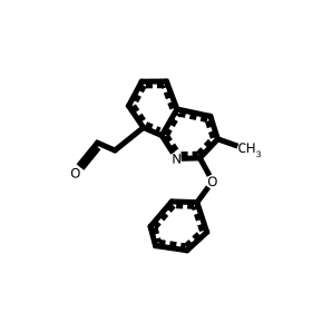 Cc1cc2cccc(CC=O)c2nc1Oc1ccccc1